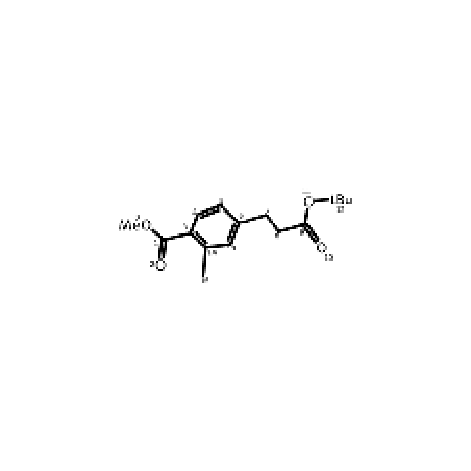 COC(=O)c1ccc(CCC(=O)OC(C)(C)C)cc1C